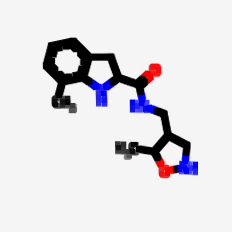 Cc1cccc2c1NC(C(=O)NCC1CNOC1C)C2